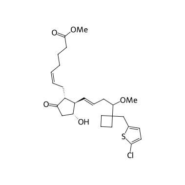 COC(=O)CCC/C=C\C[C@H]1C(=O)C[C@@H](O)[C@@H]1/C=C/CC(OC)C1(Cc2ccc(Cl)s2)CCC1